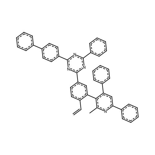 C=Cc1ccc(-c2nc(-c3ccccc3)nc(-c3ccc(-c4ccccc4)cc3)n2)cc1-c1c(-c2ccccc2)cc(-c2ccccc2)nc1C